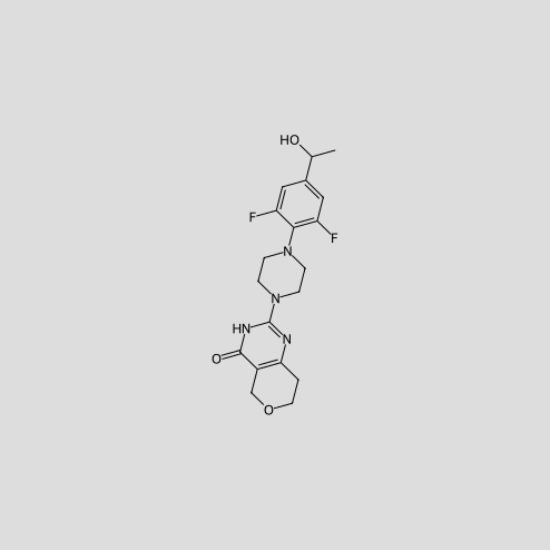 CC(O)c1cc(F)c(N2CCN(c3nc4c(c(=O)[nH]3)COCC4)CC2)c(F)c1